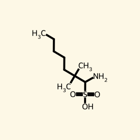 CCCCCC(C)(C)C(N)S(=O)(=O)O